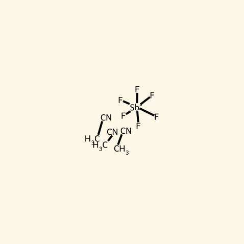 CC#N.CC#N.CC#N.[F][Sb-]([F])([F])([F])([F])[F]